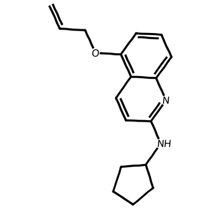 C=CCOc1cccc2nc(NC3CCCC3)ccc12